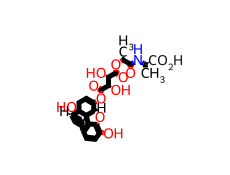 C[C@H](NC(=O)[C@H](C)OC(=O)[C@H](O)[C@@H](O)C(=O)OC1=CC[C@@]2(O)[C@@H]3CCC[C@@]24c2c(ccc(O)c2O[C@@H]14)C3)C(=O)O